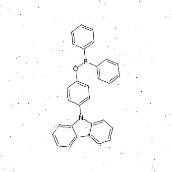 c1ccc(P(Oc2ccc(-n3c4ccccc4c4ccccc43)cc2)c2ccccc2)cc1